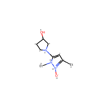 CCc1cc(N2CCC(O)C2)n(CC)[n+]1[O-]